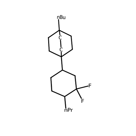 CCCCC12CCC(C3CCC(CCC)C(F)(F)C3)(CC1)CC2